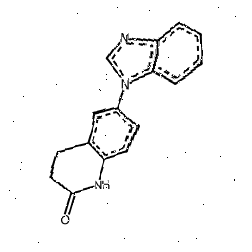 O=C1CCc2cc(-n3cnc4ccccc43)ccc2N1